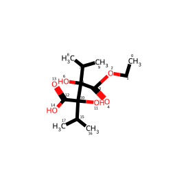 CCOC(=O)C(O)(C(C)C)C(O)(C(=O)O)C(C)C